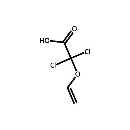 C=COC(Cl)(Cl)C(=O)O